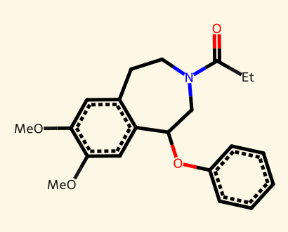 CCC(=O)N1CCc2cc(OC)c(OC)cc2C(Oc2ccccc2)C1